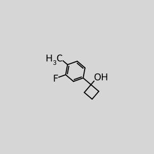 Cc1ccc(C2(O)CCC2)cc1F